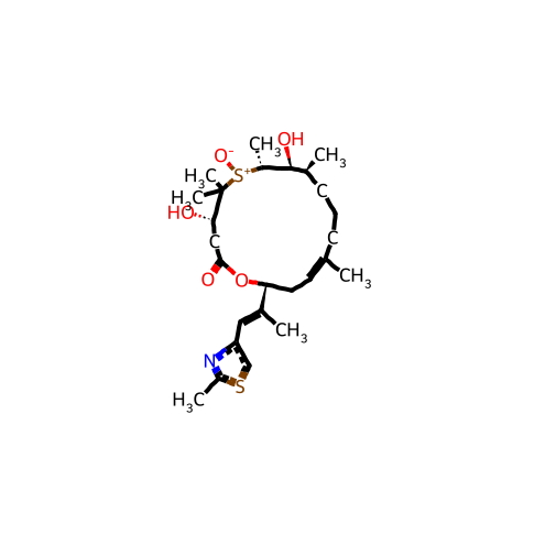 C/C1=C/C[C@@H](/C(C)=C/c2csc(C)n2)OC(=O)C[C@H](O)C(C)(C)[S+]([O-])[C@H](C)[C@@H](O)[C@@H](C)CCC1